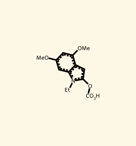 CCn1c(OC(=O)O)cc2c(OC)cc(OC)cc21